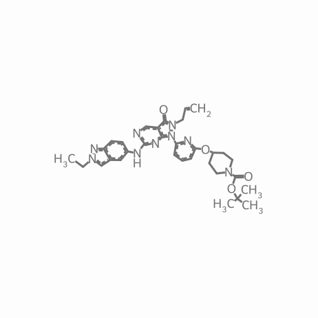 C=CCn1c(=O)c2cnc(Nc3ccc4nn(CC)cc4c3)nc2n1-c1cccc(OC2CCN(C(=O)OC(C)(C)C)CC2)n1